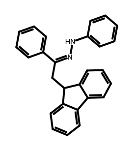 c1ccc(NN=C(CC2c3ccccc3-c3ccccc32)c2ccccc2)cc1